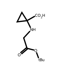 CC(C)(C)OC(=O)CNC1(C(=O)O)CC1